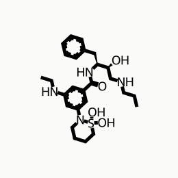 CCCNC[C@H](O)[C@H](Cc1ccccc1)NC(=O)c1cc(NCC)cc(N2CCCCS2(O)O)c1